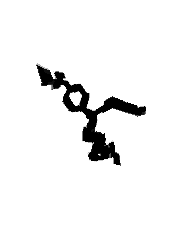 C=C/N=C(\SC)c1ccc(C)cc1